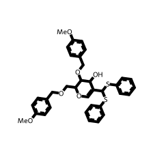 COc1ccc(COCC2OC=C(C(Sc3ccccc3)Sc3ccccc3)C(O)C2OCc2ccc(OC)cc2)cc1